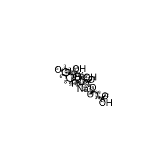 C[C@]12C=CC(=O)C=C1CC[C@@H]1[C@@H]2C(O)C[C@@]2(C)[C@H]1CC[C@]2(O)C(=O)[CH]([Na])OC(=O)CCC(=O)O